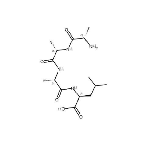 CC(C)C[C@H](NC(=O)[C@H](C)NC(=O)[C@H](C)NC(=O)[C@H](C)N)C(=O)O